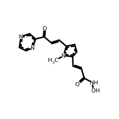 Cn1c(/C=C/C(=O)NO)ccc1/C=C/C(=O)c1cnccn1